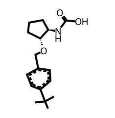 CC(C)(C)c1ccc(CO[C@@H]2CCC[C@H]2NC(=O)O)cc1